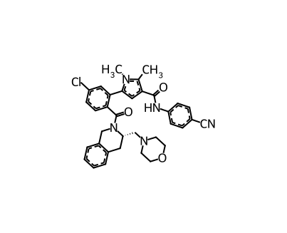 Cc1c(C(=O)Nc2ccc(C#N)cc2)cc(-c2cc(Cl)ccc2C(=O)N2Cc3ccccc3C[C@H]2CN2CCOCC2)n1C